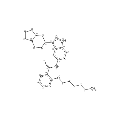 CCCCCCOc1ccccc1C(=O)Nc1ccc2[nH]nc(C3CCN4CCCC4C3)c2c1